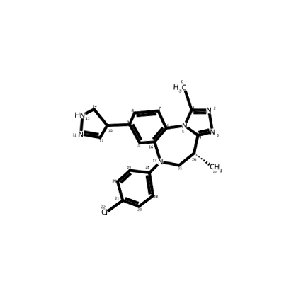 Cc1nnc2n1-c1ccc(C3C=NNC3)cc1N(c1ccc(Cl)cc1)C[C@H]2C